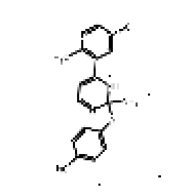 Cc1ccc(Cl)cc1C1=CC=NC(N)(Nc2ccc(C#N)cc2)N1